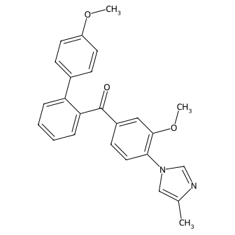 COc1ccc(-c2ccccc2C(=O)c2ccc(-n3cnc(C)c3)c(OC)c2)cc1